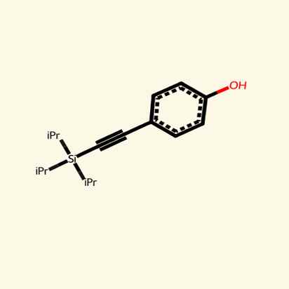 CC(C)[Si](C#Cc1ccc(O)cc1)(C(C)C)C(C)C